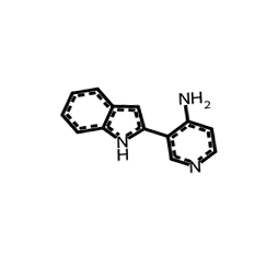 Nc1ccncc1-c1cc2ccccc2[nH]1